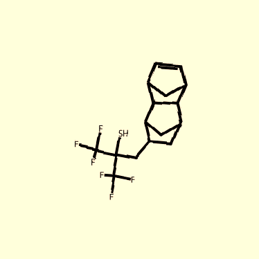 FC(F)(F)C(S)(CC1CC2CC1C1C3C=CC(C3)C21)C(F)(F)F